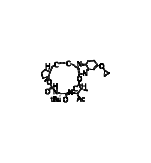 CC(=O)[C@@H]1[C@H](C)[C@@H]2CN1C(=O)[C@H](C(C)(C)C)NC(=O)O[C@]1(C)CCC[C@H]1CCCCCc1nc3ccc(OC4CC4)cc3nc1O2